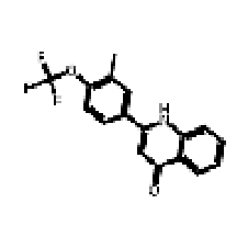 Cc1cc(-c2cc(=O)c3ccccc3[nH]2)ccc1OC(F)(F)F